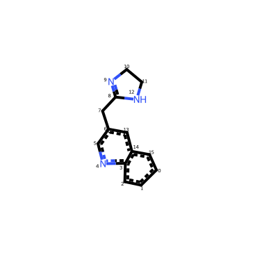 c1ccc2ncc(CC3=NCCN3)cc2c1